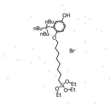 CCCC[P+](CCCC)(CCCC)c1cc(O)ccc1OCCCCCCCC[Si](OCC)(OCC)OCC.[Br-]